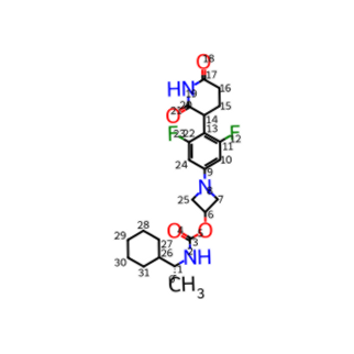 C[C@@H](NC(=O)OC1CN(c2cc(F)c(C3CCC(=O)NC3=O)c(F)c2)C1)C1CCCCC1